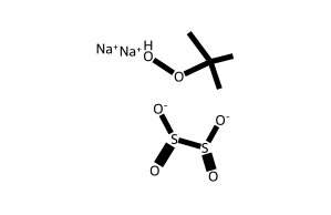 CC(C)(C)OO.O=S([O-])S(=O)[O-].[Na+].[Na+]